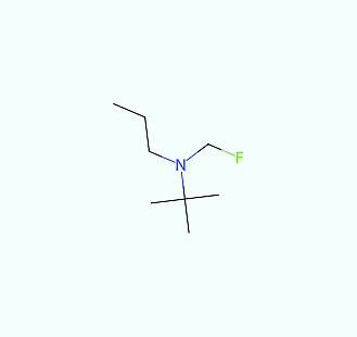 CCCN(CF)C(C)(C)C